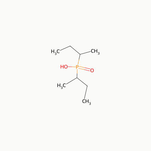 CCC(C)P(=O)(O)C(C)CC